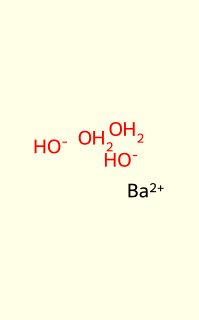 O.O.[Ba+2].[OH-].[OH-]